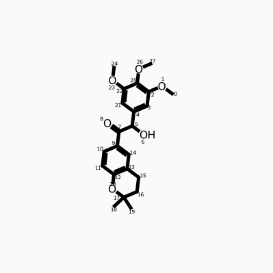 COc1cc(C(O)C(=O)c2ccc3c(c2)CCC(C)(C)O3)cc(OC)c1OC